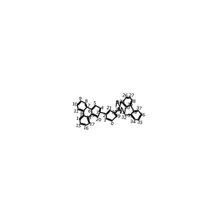 c1cc(-c2ccc3c4ccccc4c4ccccc4c3c2)cc(-c2nc3cccc4c3n2Cc2ccccc2-4)c1